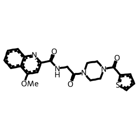 COc1cc(C(=O)NCC(=O)N2CCN(C(=O)c3cccs3)CC2)nc2ccccc12